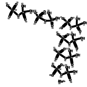 O=P(O)(O)[O][W](=[O])(=[O])[O-].O=P(O)(O)[O][W](=[O])(=[O])[O-].O=P(O)(O)[O][W](=[O])(=[O])[O-].O=P(O)(O)[O][W](=[O])(=[O])[O-].O=P(O)(O)[O][W](=[O])(=[O])[O-].O=P(O)(O)[O][W](=[O])(=[O])[O-].[Mo+6]